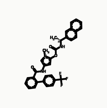 C[C@@H](NC(=O)Oc1cc(NC(=O)c2ccccc2-c2ccc(C(F)(F)F)cc2)cn1C)c1ccc2ccccc2c1